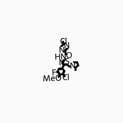 COc1c(F)cc(-c2nc(NC(=O)c3cnc(Cl)cn3)sc2CN2CCCC2C)cc1Cl